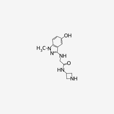 Cn1nc(NCC(=O)NC2CNC2)c2cc(O)ccc21